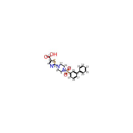 O=C(O)c1cnc(N2CCN(S(=O)(=O)c3cccc(-c4ccccc4)c3)CC2)s1